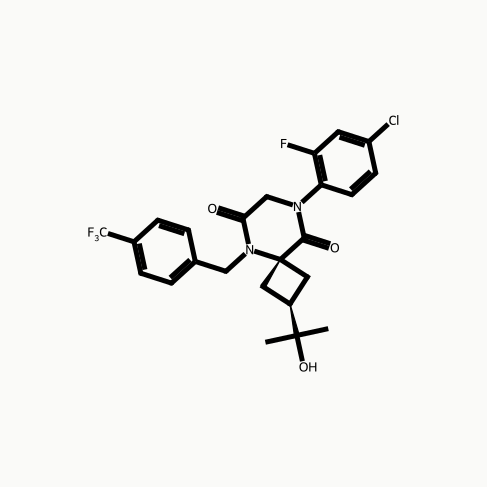 CC(C)(O)[C@H]1C[C@]2(C1)C(=O)N(c1ccc(Cl)cc1F)CC(=O)N2Cc1ccc(C(F)(F)F)cc1